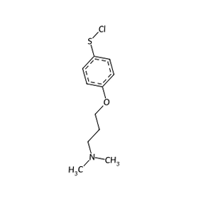 CN(C)CCCOc1ccc(SCl)cc1